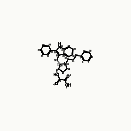 O=C(O)C(=O)O.c1ccc(CCCN2CCC[C@@H]2Cc2c(-c3ccccc3)[nH]c3ccccc23)cc1